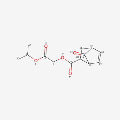 CC(C)OC(=O)COC(=O)C1CC2C=CC1C2=O